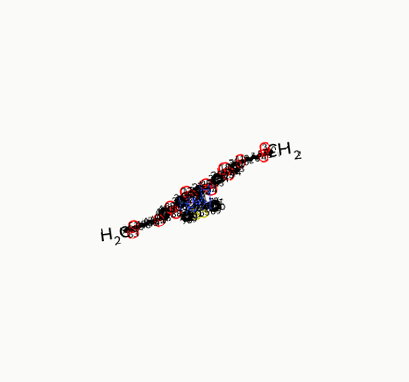 C=CC(=O)OCCCCCCOc1ccc(OC(=O)[C@H]2CC[C@H](C(=O)Oc3ccc(OC(=O)[C@H]4CC[C@H](C(=O)Oc5ccc(OCCCCCCOC(=O)C=C)cc5)CC4)c(CNN(C(=S)Nc4ccccc4)c4nc5ccccc5s4)c3)CC2)cc1